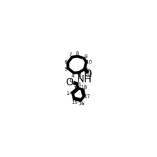 O=C(NC1CCCCCCCC1=O)c1ccccc1